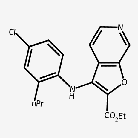 CCCc1cc(Cl)ccc1Nc1c(C(=O)OCC)oc2cnccc12